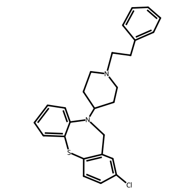 Clc1ccc2c(c1)CN(C1CCN(CCc3ccccc3)CC1)c1ccccc1S2